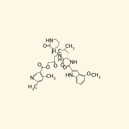 COc1cccc2[nH]c(C(=O)N[C@@H](CC(C)C)C(=O)N[C@@H](C[C@@H]3CCCNC3=O)C(=O)COC(=O)c3cnc(C)cc3C)cc12